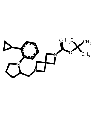 CC(C)(C)OC(=O)N1CC2(CN(CC3CCCN3c3ccccc3C3CC3)C2)C1